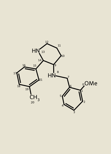 COc1ccccc1CNC1CCCNC1c1cccc(C)c1